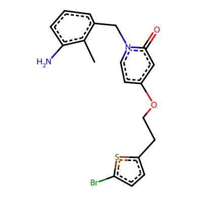 Cc1c(N)cccc1Cn1ccc(OCCc2ccc(Br)s2)cc1=O